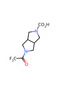 O=C(O)N1CC2CN(C(=O)C(F)(F)F)CC2C1